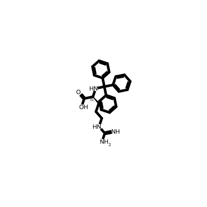 N=C(N)NCCC[C@H](NC(c1ccccc1)(c1ccccc1)c1ccccc1)C(=O)O